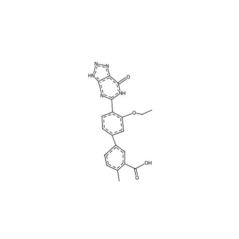 CCOc1cc(-c2ccc(C)c(C(=O)O)c2)ccc1-c1nc2[nH]nnc2c(=O)[nH]1